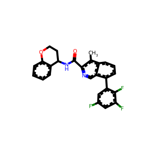 Cc1c(C(=O)NC2CCOc3ccccc32)ncc2c(-c3cc(F)cc(F)c3F)cccc12